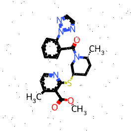 COC(=O)c1c(C)ccnc1S[C@@H]1CC[C@@H](C)N(C(=O)c2ccccc2-n2nccn2)C1